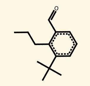 CCCc1c(C=O)cccc1C(C)(C)C